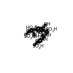 Nc1c(/N=N/c2ccc(S(=O)(=O)CCOS(=O)(=O)O)cc2SOOO)c(S(=O)(=O)O)cc2cc(SOOO)c(/N=N/c3cc(Nc4nc(Cl)nc(Nc5ccc(S(=O)(=O)CCOS(=O)(=O)O)cc5)n4)ccc3S(=O)(=O)O)c(O)c12